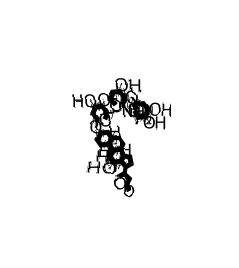 C[C@H]1O[C@@H](O[C@H]2[C@@H](O)C[C@H](O[C@H]3[C@@H](O)C[C@H](O[C@H]4CC[C@@]5(C)[C@H](CC[C@@H]6[C@@H]5C[C@@H](O)[C@]5(C)C(C7=CC(=O)OC7)CC[C@]65O)C4)O[C@@H]3C)O[C@@H]2N)C[C@H](O)[C@@H]1O